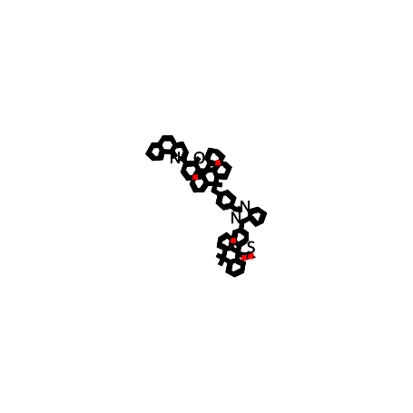 CC1(C)c2ccccc2C2(c3ccccc3Sc3cc(-c4nc(-c5ccc(CC6(C)c7ccccc7C7(c8ccccc8Oc8c(-c9ccc%10ccc%11ccccc%11c%10n9)cccc87)c7ccccc76)cc5)nc5ccccc45)ccc32)c2ccccc21